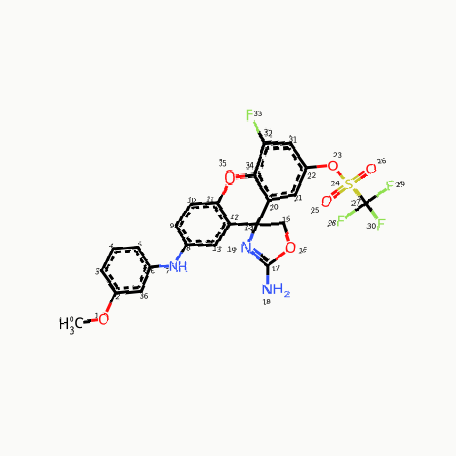 COc1cccc(Nc2ccc3c(c2)C2(COC(N)=N2)c2cc(OS(=O)(=O)C(F)(F)F)cc(F)c2O3)c1